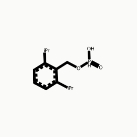 CC(C)c1cccc(C(C)C)c1CO[PH](=O)O